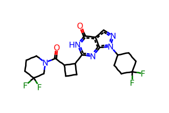 O=C(C1CCC1c1nc2c(cnn2C2CCC(F)(F)CC2)c(=O)[nH]1)N1CCCC(F)(F)C1